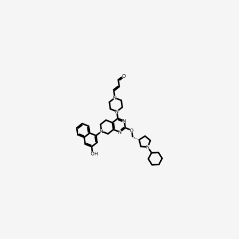 O=CC=CN1CCN(c2nc(OC[C@@H]3CCN(C4CCCCC4)C3)nc3c2CCN(c2cc(O)cc4ccccc24)C3)CC1